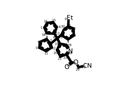 CCc1cccc(C(c2ccccc2)(c2ccccc2)c2ccc(C(=O)OCC#N)nc2)c1